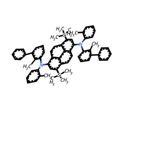 Cc1ccccc1N(c1cccc(-c2ccccc2)c1C)c1cc([Si](C)(C)C)c2ccc3c(N(c4ccccc4C)c4cccc(-c5ccccc5)c4C)cc([Si](C)(C)C)c4ccc1c2c34